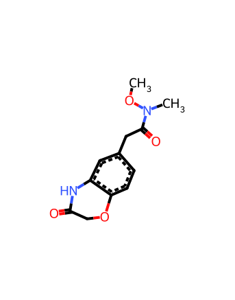 CON(C)C(=O)Cc1ccc2c(c1)NC(=O)CO2